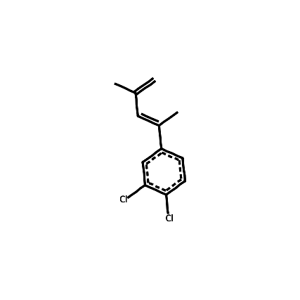 C=C(C)C=C(C)c1ccc(Cl)c(Cl)c1